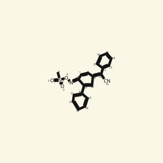 CS(=O)(=O)ON=C1C=CC(=C(C#N)c2ccccc2)C=C1c1ccccc1